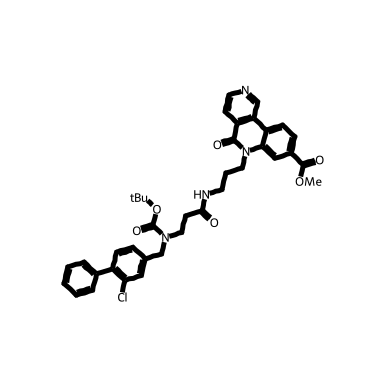 COC(=O)c1ccc2c3cnccc3c(=O)n(CCCNC(=O)CCN(Cc3ccc(-c4ccccc4)c(Cl)c3)C(=O)OC(C)(C)C)c2c1